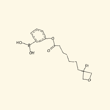 CCC1(CCCCCCC(=O)Oc2cccc(B(O)O)c2)COC1